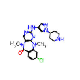 CN1C(=O)c2ccc(Cl)cc2N(C)c2nc(Nc3cnn(C4CCNCC4)c3)ncc21